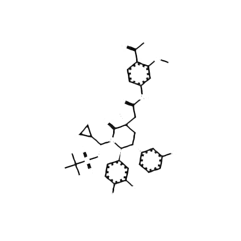 COc1cc(NC(=O)C[C@@]2(C)C[C@H](c3cccc(Cl)c3)[C@@H](c3ccc(Cl)c(F)c3)N([C@H](CS(=O)(=O)C(C)(C)C)C3CC3)C2=O)ccc1C(C)=O